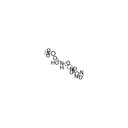 CC(C)S(=O)(=O)c1cccc(OC[C@@H](O)CN[C@H]2COC3(CCN(S(=O)(=O)c4cnc5c(c4)N(C)CCO5)CC3)C2)c1